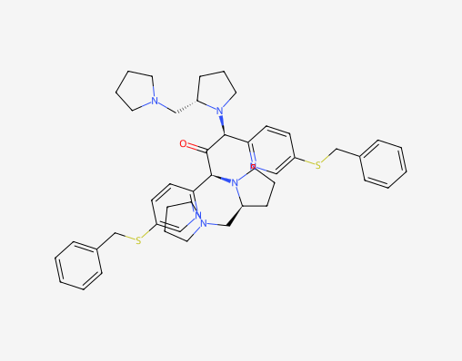 O=C([C@H](c1ccc(SCc2ccccc2)cn1)N1CCC[C@H]1CN1CCCC1)[C@H](c1ccc(SCc2ccccc2)cn1)N1CCC[C@H]1CN1CCCC1